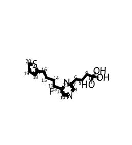 OC(O)(O)CCCc1cncc(C(F)CCCc2cccs2)n1